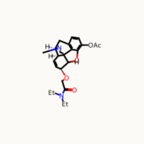 CCN(CC)C(=O)CO[C@H]1C=C[C@H]2[C@H]3Cc4ccc(OC(C)=O)c5c4[C@@]2(CCN3C)[C@H]1O5